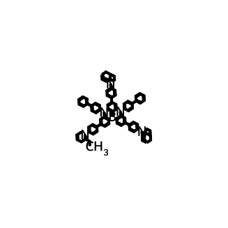 CCC1CC=CCN1c1ccc(-c2ccc3c(c2)N(c2ccc(-c4ccccc4)cc2)c2cc(-c4ccc(N5C6CC7CC(C6)CC5C7)cc4)cc4c2B3c2ccc(-c3ccc(N5C6CC7CC(C6)CC5C7)cc3)cc2N4c2ccc(-c3ccccc3)cc2)cc1